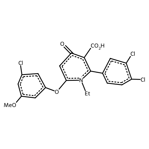 CCn1c(Oc2cc(Cl)cc(OC)c2)cc(=O)c(C(=O)O)c1-c1ccc(Cl)c(Cl)c1